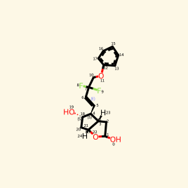 OC1C[C@H]2[C@H](/C=C/C(F)(F)COc3ccccc3)[C@@H](O)C[C@H]2O1